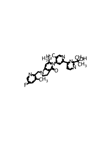 Cc1cnc(-c2ccnc(C(C)(C)O)n2)cc1-n1c(C)cc2c(c1=O)CCN2Cc1ncc(F)cc1C